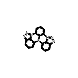 c1cc2c3c(c1)-n1nnc4cccc(c41)B3c1cccc3nnn-2c13